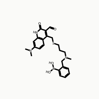 CN(CCCSCc1c(C=O)c(=O)[nH]c2cc(N(C)C)ccc12)Cc1ccccc1B(O)O